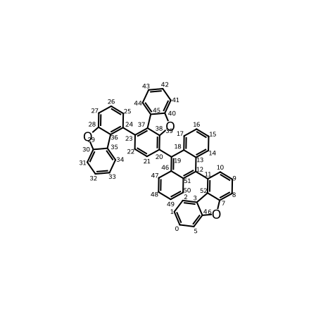 c1ccc2c(c1)oc1cccc(-c3c4ccccc4c(-c4ccc(-c5cccc6oc7ccccc7c56)c5c4oc4ccccc45)c4ccccc34)c12